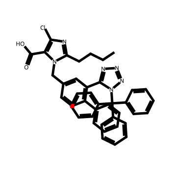 CCCCc1nc(Cl)c(C(=O)O)n1Cc1ccc(-c2ccccc2)c(-c2nnnn2C(c2ccccc2)(c2ccccc2)c2ccccc2)c1